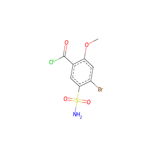 COc1cc(Br)c(S(N)(=O)=O)cc1C(=O)Cl